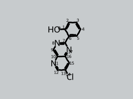 Oc1ccccc1-c1ncc2ncc(Cl)cc2n1